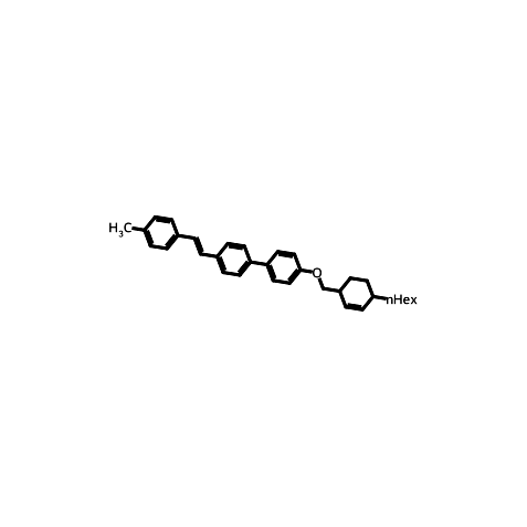 CCCCCCC1C=CC(COc2ccc(-c3ccc(/C=C/c4ccc(C)cc4)cc3)cc2)CC1